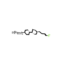 CCCCC[C@H]1CC[C@H]([C@H]2CC[C@H](CCC=CF)CC2)CC1